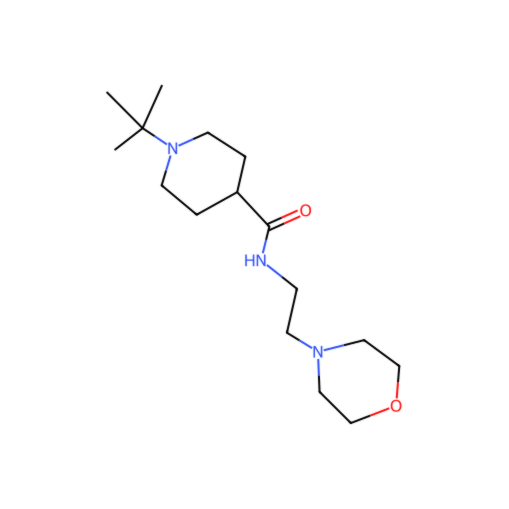 CC(C)(C)N1CCC(C(=O)NCCN2CCOCC2)CC1